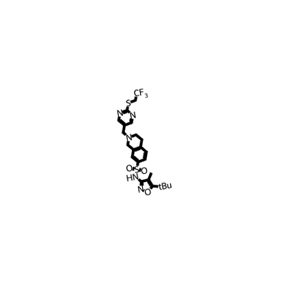 Cc1c(NS(=O)(=O)c2ccc3c(c2)CN(Cc2cnc(SCC(F)(F)F)nc2)CC3)noc1C(C)(C)C